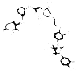 CCc1cc(N2C(=S)N(c3ccc(C#N)c(Cl)c3)C(=O)C2(C)C)ccc1OCCN1C[C@@H](C)N(CC(=O)Nc2cccc(NC3CCC(=O)NC3=O)c2)[C@@H](C)C1